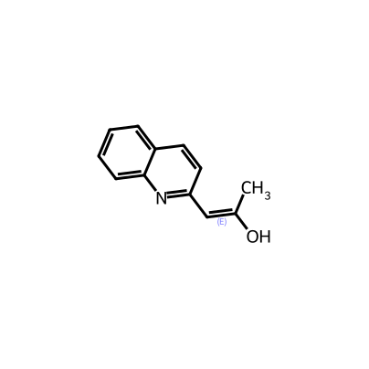 C/C(O)=C\c1ccc2ccccc2n1